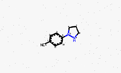 N#Cc1ccc(N2CCCN2)cc1